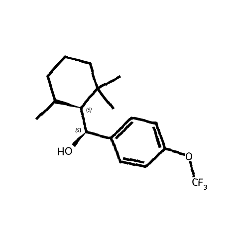 CC1CCCC(C)(C)[C@H]1[C@H](O)c1ccc(OC(F)(F)F)cc1